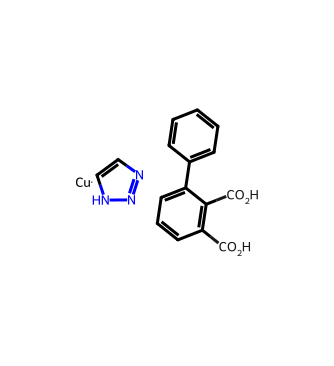 O=C(O)c1cccc(-c2ccccc2)c1C(=O)O.[Cu].c1c[nH]nn1